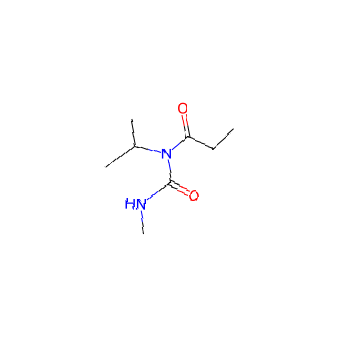 CCC(=O)N(C(=O)NC)C(C)C